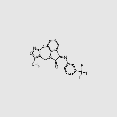 Cc1noc(C)c1CN1C(=O)C(=Nc2cccc(C(F)(F)F)c2)c2ccccc21